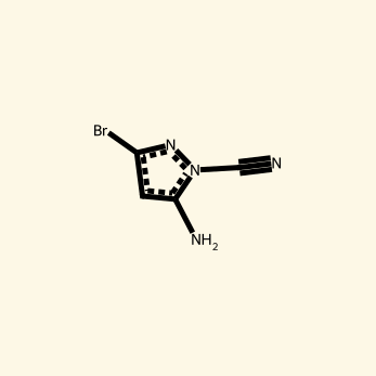 N#Cn1nc(Br)cc1N